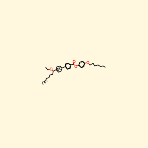 [CH2+][CH-]CCCCC(OCC)C12CCC(c3ccc(C(=O)Oc4ccc(OCCCCCCC)cc4)cc3)(CC1)CC2